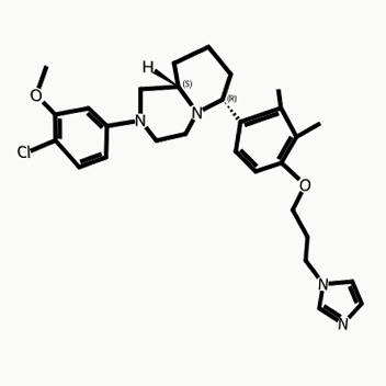 COc1cc(N2CCN3[C@@H](CCC[C@@H]3c3ccc(OCCCn4ccnc4)c(C)c3C)C2)ccc1Cl